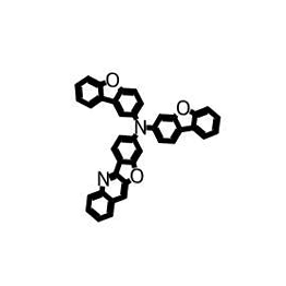 c1ccc2nc3c(cc2c1)oc1cc(N(c2ccc4c(c2)oc2ccccc24)c2ccc4oc5ccccc5c4c2)ccc13